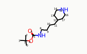 CC(C)(C)OC(=O)NCCCCC1CCNCC1